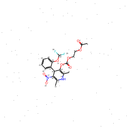 CC(=O)OCCOC(=O)OC1=C(C)NC(C)=C([N+](=O)[O-])C1c1ccccc1OC(F)F